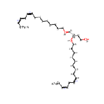 CCCCC/C=C\C/C=C\CCCCCCCCOC[C@H](CCO)OCCCCCCCC/C=C\C/C=C\CCCCC